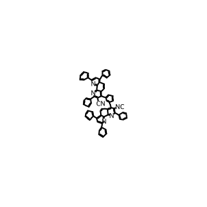 [C-]#[N+]c1c(-c2ccccc2)nc2c(ccc3c(-c4ccccc4)cc(-c4ccccc4)nc32)c1-c1cccc(-c2c(C#N)c(-c3ccccc3)nc3c2ccc2c(-c4ccccc4)cc(-c4ccccc4)nc23)c1